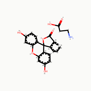 NCCC(=O)O.O=C1OC2(c3ccc(O)cc3Oc3cc(O)ccc32)c2ccccc21